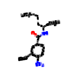 CCOC(=O)CC[C@H](NC(=O)c1ccc(N)c(OC)c1)C(=O)OCC